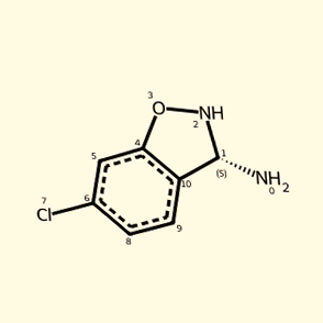 N[C@H]1NOc2cc(Cl)ccc21